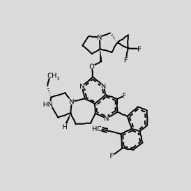 C#Cc1c(F)ccc2cccc(-c3nc4c5c(nc(OC[C@@]67CCCN6C[C@@]6(CC6(F)F)C7)nc5c3F)N3C[C@@H](CC)NC[C@H]3CC4)c12